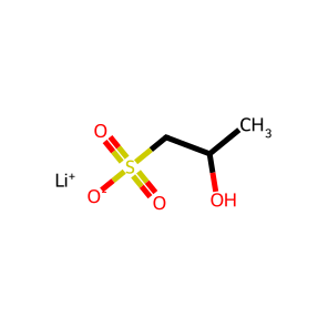 CC(O)CS(=O)(=O)[O-].[Li+]